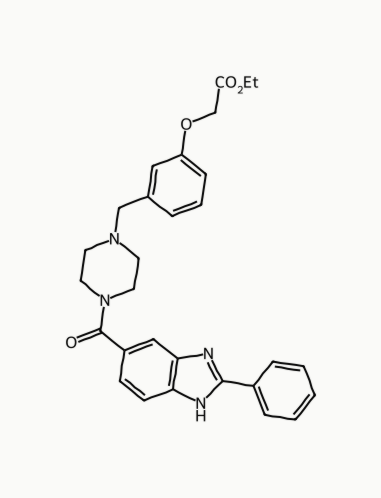 CCOC(=O)COc1cccc(CN2CCN(C(=O)c3ccc4[nH]c(-c5ccccc5)nc4c3)CC2)c1